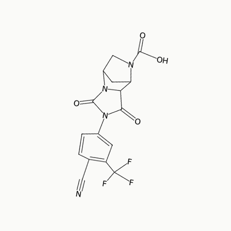 N#Cc1ccc(N2C(=O)C3C4CC(CN4C(=O)O)N3C2=O)cc1C(F)(F)F